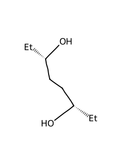 CC[C@H](O)CC[C@@H](O)CC